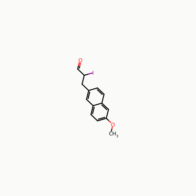 COc1ccc2cc(CC(I)C=O)ccc2c1